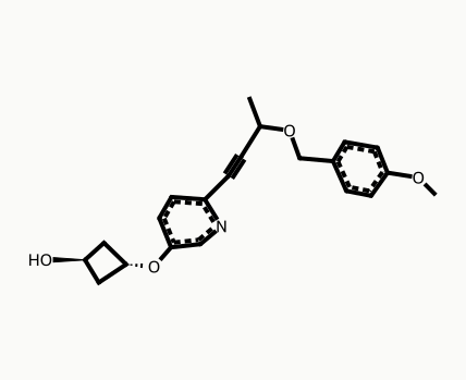 COc1ccc(COC(C)C#Cc2ccc(O[C@H]3C[C@H](O)C3)cn2)cc1